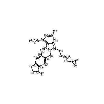 Nc1nc(F)nc2c1nc(Cc1cc3c(cc1I)CCC3F)n2CCNCC1CC1